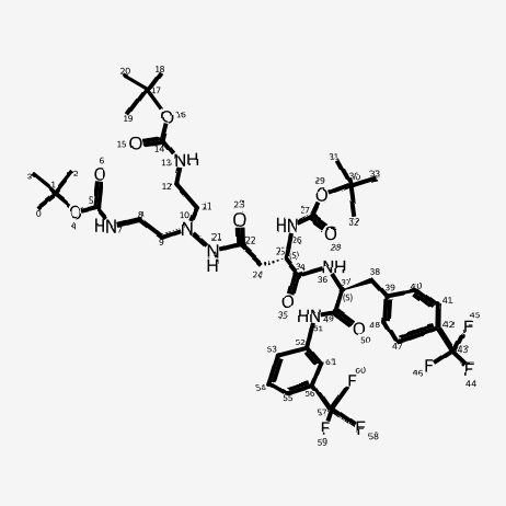 CC(C)(C)OC(=O)NCCN(CCNC(=O)OC(C)(C)C)NC(=O)C[C@H](NC(=O)OC(C)(C)C)C(=O)N[C@@H](Cc1ccc(C(F)(F)F)cc1)C(=O)Nc1cccc(C(F)(F)F)c1